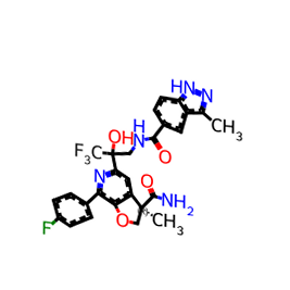 Cc1n[nH]c2ccc(C(=O)NCC(O)(c3cc4c(c(-c5ccc(F)cc5)n3)OC[C@]4(C)C(N)=O)C(F)(F)F)cc12